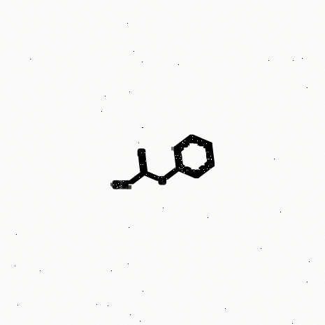 O=[C]C(=O)Oc1[c]cccc1